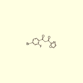 O=C(CC(=O)c1ccc(Br)cc1F)c1ncco1